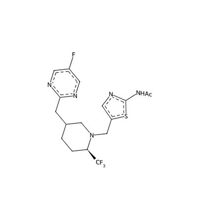 CC(=O)Nc1ncc(CN2CC(Cc3ncc(F)cn3)CC[C@@H]2C(F)(F)F)s1